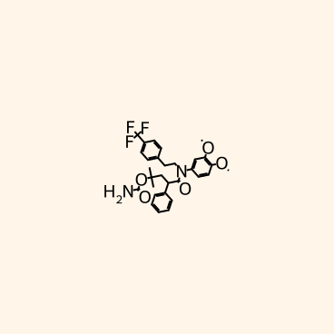 COc1ccc(N(CCc2ccc(C(F)(F)F)cc2)C(=O)C(CC(C)(C)OC(N)=O)c2ccccc2)cc1OC